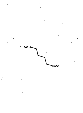 COC[CH]CCOC